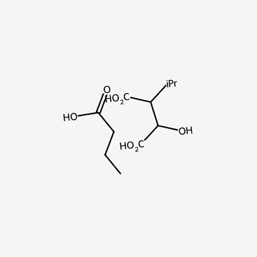 CC(C)C(C(=O)O)C(O)C(=O)O.CCCC(=O)O